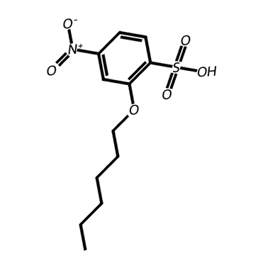 CCCCCCOc1cc([N+](=O)[O-])ccc1S(=O)(=O)O